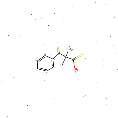 CCCC(C)(C(O)=S)C(=S)c1ccccc1